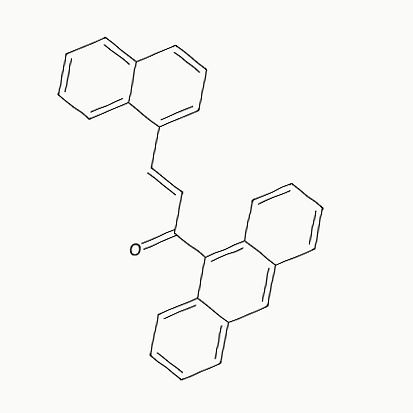 O=C(C=Cc1cccc2ccccc12)c1c2ccccc2cc2ccccc12